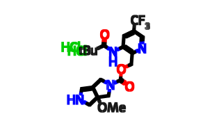 COC12CNC=C1CN(C(=O)OCc1ncc(C(F)(F)F)cc1NC(=O)C(C)(C)C)C2.Cl.Cl